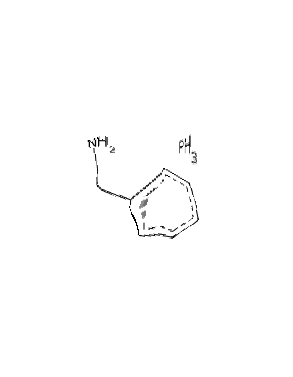 NCc1ccccc1.P